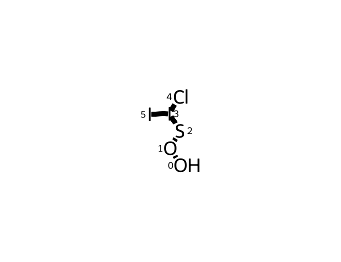 OOSI(Cl)I